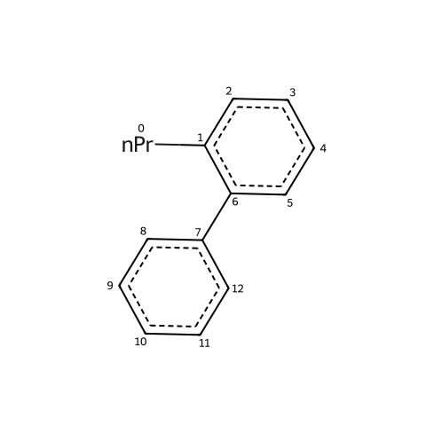 [CH2]CCc1ccccc1-c1ccccc1